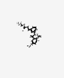 CCOC(=O)CCc1cccc(NC(=O)c2cc(C)ccc2N)c1